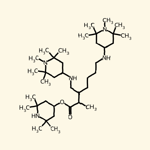 CC(C(=O)OC1CC(C)(C)NC(C)(C)C1)C(CCCCNC1CC(C)(C)N(C)C(C)(C)C1)CNC1CC(C)(C)N(C)C(C)(C)C1